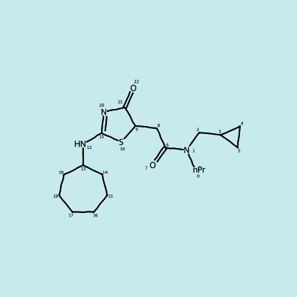 CCCN(CC1CC1)C(=O)CC1SC(NC2CCCCCC2)=NC1=O